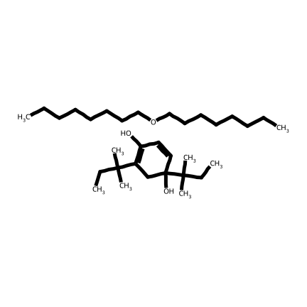 CCC(C)(C)C1=C(O)C=CC(O)(C(C)(C)CC)C1.CCCCCCCCOCCCCCCCC